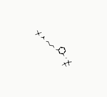 CC(C)(C)OC(=O)OCCCOc1cccc(B2OC(C)(C)C(C)(C)O2)c1